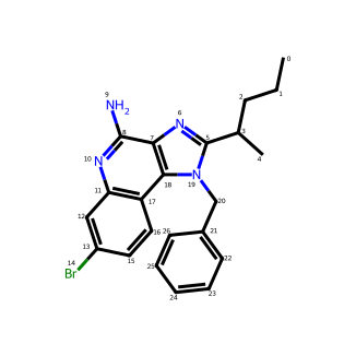 CCCC(C)c1nc2c(N)nc3cc(Br)ccc3c2n1Cc1ccccc1